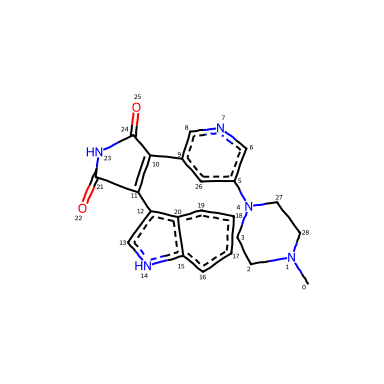 CN1CCN(c2cncc(C3=C(c4c[nH]c5ccccc45)C(=O)NC3=O)c2)CC1